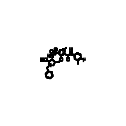 Cc1cc(NC(=O)c2c3c(cn2C)S(=O)(=O)NC2C(CO3)CN(Cc3ccccc3)C2O)ccc1F